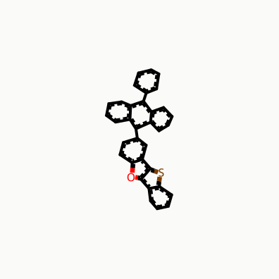 c1ccc(-c2c3ccccc3c(-c3ccc4oc5c6ccccc6sc5c4c3)c3ccccc23)cc1